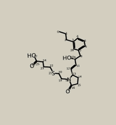 CCCc1cccc(C[C@H](O)/C=C/[C@H]2CCC(=O)N2CCSCCCC(=O)O)c1